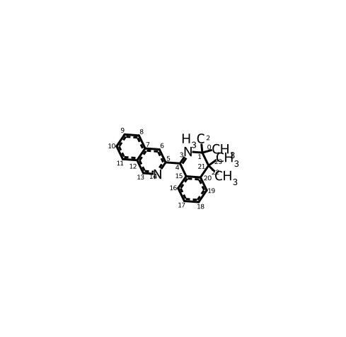 CC1(C)N=C(c2cc3ccccc3cn2)c2ccccc2C1(C)C